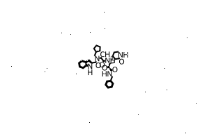 C[C@@H](C(=O)N[C@@H](C[C@@H]1CCCNC1=O)C(=O)C(=O)NCc1ccccc1)N(CC1CCCC1)C(=O)c1cc2ccccc2[nH]1